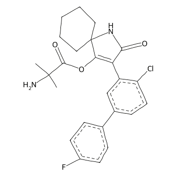 CC(C)(N)C(=O)OC1=C(c2cc(-c3ccc(F)cc3)ccc2Cl)C(=O)NC12CCCCC2